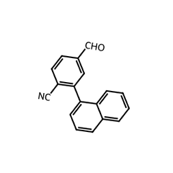 N#Cc1ccc(C=O)cc1-c1cccc2ccccc12